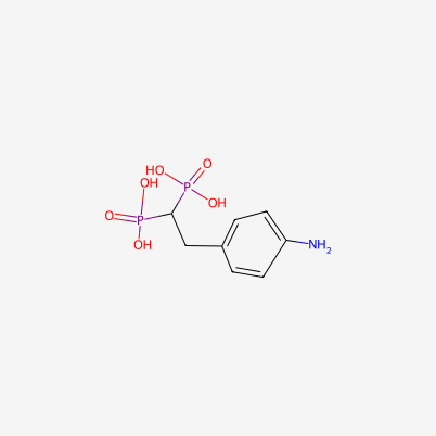 Nc1ccc(CC(P(=O)(O)O)P(=O)(O)O)cc1